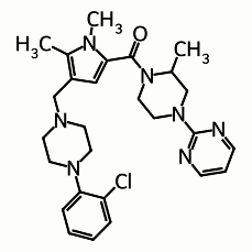 Cc1c(CN2CCN(c3ccccc3Cl)CC2)cc(C(=O)N2CCN(c3ncccn3)CC2C)n1C